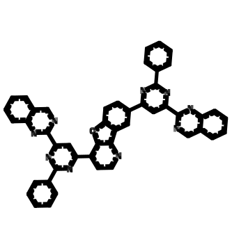 c1ccc(-c2nc(-c3ccc4oc5c(-c6cc(-c7ncc8ccccc8n7)nc(-c7ccccc7)n6)ccnc5c4c3)cc(-c3ncc4ccccc4n3)n2)cc1